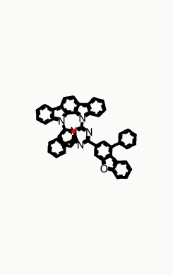 c1ccc(-c2nc(-c3cc(-c4ccccc4)c4c(c3)oc3ccccc34)nc(-n3c4ccccc4c4ccc5c6ccccc6n(-c6ccccc6)c5c43)n2)cc1